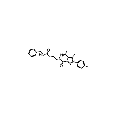 Cc1ccc(-n2nc3c(=O)n(CCCC(=O)NCc4ccccc4)nc(C)c3c2C)cc1